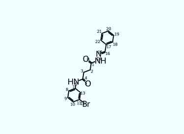 O=C(CCC(=O)Nc1cccc(Br)c1)N/N=C/c1ccccc1